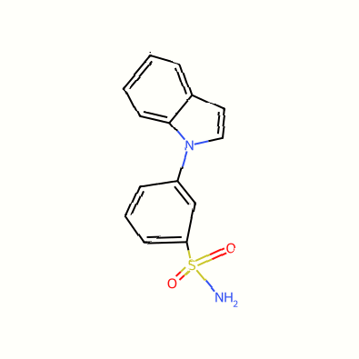 NS(=O)(=O)c1cccc(-n2ccc3c[c]ccc32)c1